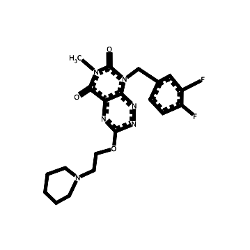 Cn1c(=O)c2nc(OCCN3CCCCC3)nnc2n(Cc2ccc(F)c(F)c2)c1=O